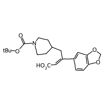 CC(C)(C)OC(=O)N1CCC(CC(=CC(=O)O)c2ccc3c(c2)OCO3)CC1